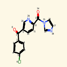 O=C(c1ccc(Cl)cc1)c1ccc(C(=O)n2ccnc2)nc1